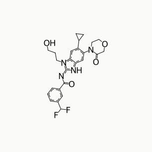 O=C(/N=c1\[nH]c2cc(N3CCOCC3=O)c(C3CC3)cc2n1CCCO)c1cccc(C(F)F)c1